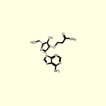 CNC(=O)CCO[C@H]1C(O)[C@@H](CO)O[C@H]1n1cnc2c(N)ncnc21